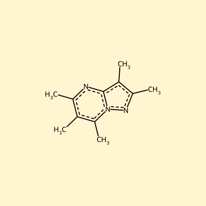 Cc1nc2c(C)c(C)nn2c(C)c1C